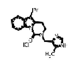 Cc1[nH]cnc1CN1CCc2c(C(C)C)c3ccccc3n2C1=O.Cl